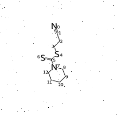 N#CCCSC(=S)N1CCCCC1